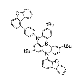 CC(C)(C)c1ccc2c(c1)B1c3ccc(C(C)(C)C)cc3N(c3ccc(-c4cccc5oc6ccccc6c45)cc3)c3cc(C(C)(C)C)cc(c31)N2c1cccc2c1oc1ccccc12